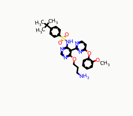 COc1ccccc1Oc1ccnc(-c2c(NS(=O)(=O)c3ccc(C(C)(C)C)cc3)ncnc2OCCCN)n1